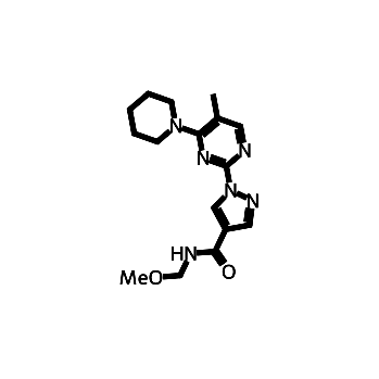 COCNC(=O)c1cnn(-c2ncc(C)c(N3CCCCC3)n2)c1